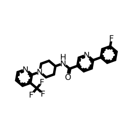 O=C(NC1CCN(c2ncccc2C(F)(F)F)CC1)c1ccc(-c2cccc(F)c2)nc1